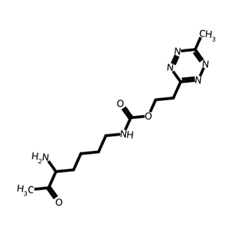 CC(=O)C(N)CCCCNC(=O)OCCc1nnc(C)nn1